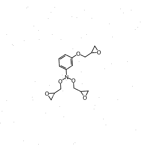 c1cc(OCC2CO2)cc(N(OCC2CO2)OCC2CO2)c1